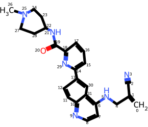 C=C(C#N)CNc1ccnc2ccc(-c3cccc(C(=O)NC4CCN(C)CC4)n3)cc12